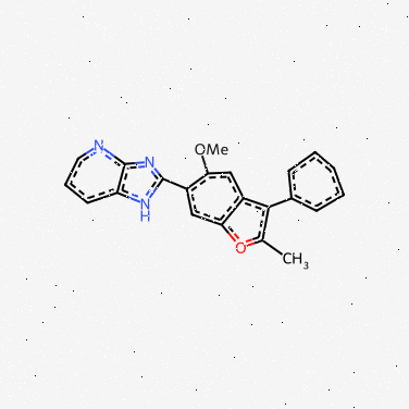 COc1cc2c(-c3ccccc3)c(C)oc2cc1-c1nc2ncccc2[nH]1